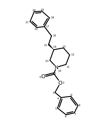 O=C(OCc1ccccc1)N1CCC[C@H](CCc2ccccc2)C1